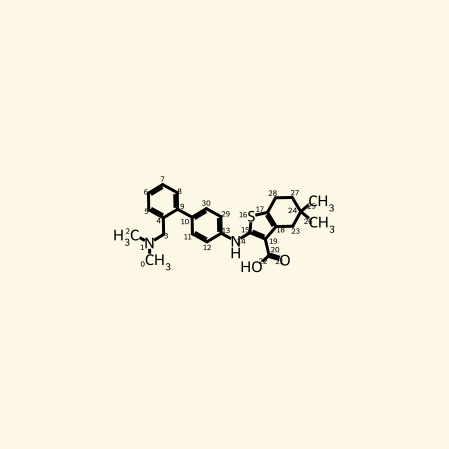 CN(C)Cc1ccccc1-c1ccc(Nc2sc3c(c2C(=O)O)CC(C)(C)CC3)cc1